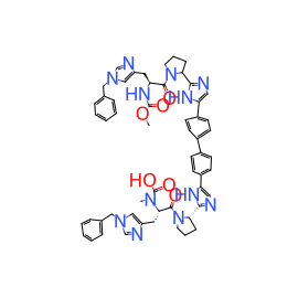 COC(=O)N[C@@H](Cc1cn(Cc2ccccc2)cn1)C(=O)N1CCCC1c1ncc(-c2ccc(-c3ccc(-c4cnc([C@@H]5CCCN5C(=O)[C@H](Cc5cn(Cc6ccccc6)cn5)N(C)C(=O)O)[nH]4)cc3)cc2)[nH]1